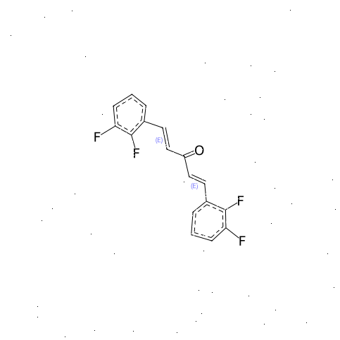 O=C(/C=C/c1cccc(F)c1F)/C=C/c1cccc(F)c1F